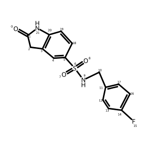 O=C1Cc2cc(S(=O)(=O)NCc3ccc(F)cc3)ccc2N1